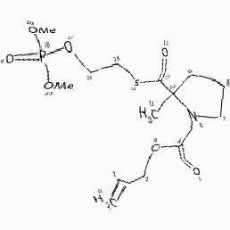 C=CCOC(=O)N1CCCC1(C)C(=O)SCCOP(=O)(OC)OC